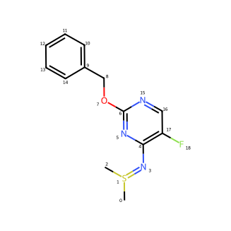 CS(C)=Nc1nc(OCc2ccccc2)ncc1F